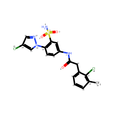 NS(=O)(=O)c1cc(NC(=O)Cc2cccc(C(F)(F)F)c2Cl)ccc1-n1cc(Cl)cn1